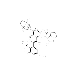 [2H]C([2H])(Oc1nc(N2C[C@H]3CC[C@@H](C2)N3)c2cnc(-c3cc(O)cc(Cl)c3C(F)(F)F)c(F)c2n1)[C@@]12CCCN1C[C@H](F)C2